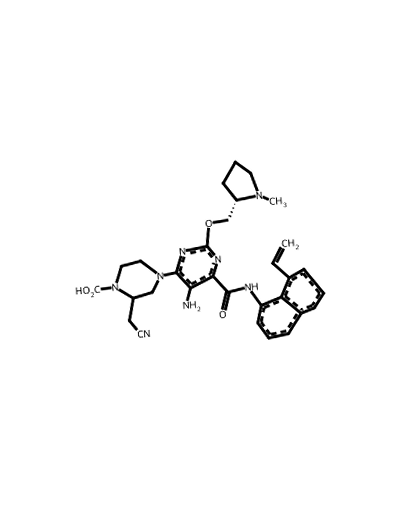 C=Cc1cccc2cccc(NC(=O)c3nc(OC[C@@H]4CCCN4C)nc(N4CCN(C(=O)O)C(CC#N)C4)c3N)c12